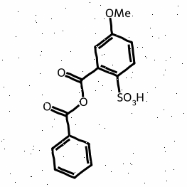 COc1ccc(S(=O)(=O)O)c(C(=O)OC(=O)c2ccccc2)c1